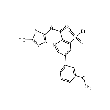 CCS(=O)(=O)c1cc(-c2cccc(OC(F)(F)F)c2)cnc1C(=O)N(C)c1nnc(C(F)(F)F)s1